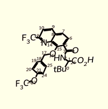 CC(C)(C)C(NC(=O)c1ccc2ccc(C(F)(F)F)nc2c1OCc1ccc(OC(F)(F)F)cc1)C(=O)O